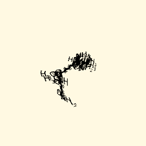 CC(=O)[C@](C)(CCC/C=C/CCC[C@](C)(NN)C(=O)NC(C(N)=O)C(C)C)NC(=O)CCCC(N)=O